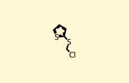 ClCSc1cccs1